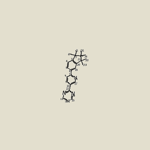 CC1(C)c2ccc(-c3ccc(-c4ncncn4)cn3)cc2C(C)(C)C1(C)C